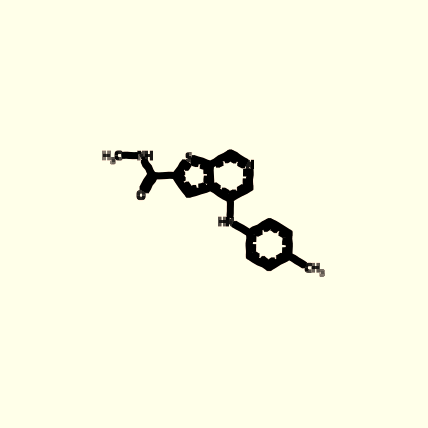 CNC(=O)c1cc2c(Nc3ccc(C)cc3)cncc2s1